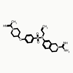 C=CCN(c1ccc2c(c1)CN(C(=N)N)CC2)S(=O)(=O)c1ccc(OC2CCN(C(C)=N)CC2)cc1